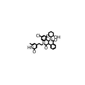 Cc1cc(CCNC(=O)C2c3ccccc3C(=O)N(C3CCCCC3O)C2c2ccc(Cl)cc2Cl)cc(=O)[nH]1